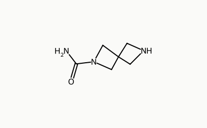 NC(=O)N1CC2(CNC2)C1